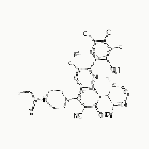 C=CC(=O)N1CCN(c2c(C#N)c(=O)n(C3C(C(C)C)=NC=C[C@H]3C)c3nc(-c4c(O)c(F)c(Cl)c(Cl)c4F)c(Cl)cc23)CC1